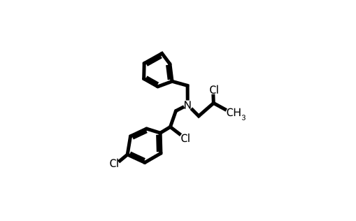 CC(Cl)CN(Cc1ccccc1)CC(Cl)c1ccc(Cl)cc1